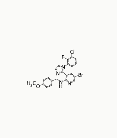 COc1ccc(CNc2ncc(Br)cc2-c2nccn2-c2cccc(Cl)c2F)cc1